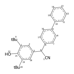 CC(C)(C)c1cc(C(C#N)c2ccc(-c3ccccc3)cc2)cc(C(C)(C)C)c1O